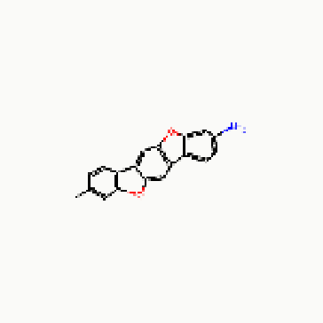 Cc1ccc2c(c1)oc1cc3c(cc12)oc1cc(N)ccc13